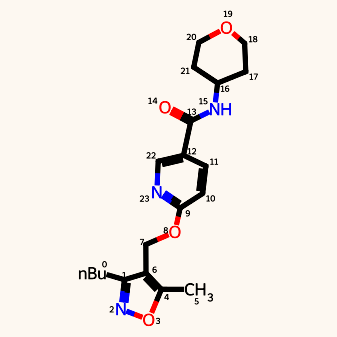 CCCCc1noc(C)c1COc1ccc(C(=O)NC2CCOCC2)cn1